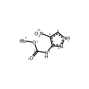 CC(C)(C)OC(=O)Nc1n[nH]cc1[N+](=O)[O-]